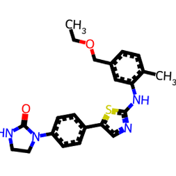 CCOCc1ccc(C)c(Nc2ncc(-c3ccc(N4CCNC4=O)cc3)s2)c1